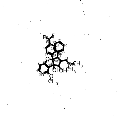 COc1nccc2c1C1(O)C(O)C(CN(C)C)C(c3ccccc3)C1(c1ccc(C(F)F)cc1)O2